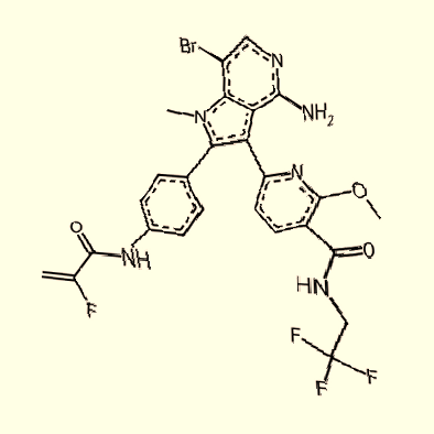 C=C(F)C(=O)Nc1ccc(-c2c(-c3ccc(C(=O)NCC(F)(F)F)c(OC)n3)c3c(N)ncc(Br)c3n2C)cc1